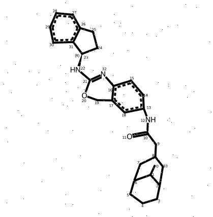 CC1C2CCCC1CC(CC(=O)Nc1ccc3c(c1)COC(N[C@@H]1CCc4ccccc41)=N3)C2